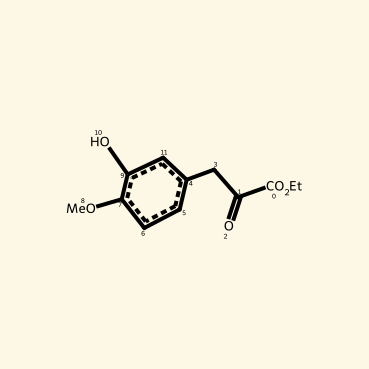 CCOC(=O)C(=O)Cc1ccc(OC)c(O)c1